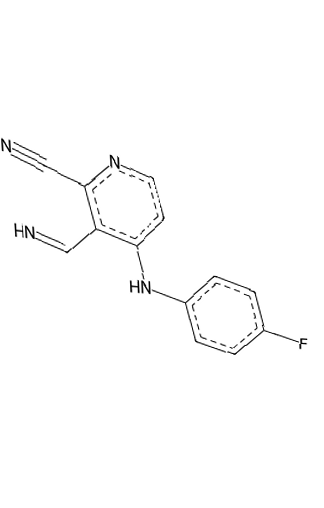 N#Cc1nccc(Nc2ccc(F)cc2)c1C=N